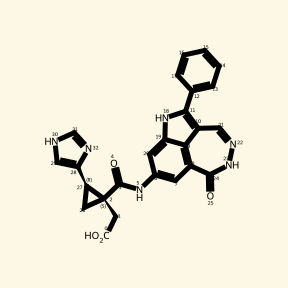 O=C(O)C[C@@]1(C(=O)Nc2cc3c4c(c(-c5ccccc5)[nH]c4c2)C=NNC3=O)C[C@H]1c1c[nH]cn1